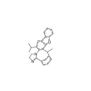 CC(C)c1cc2c(oc3ccccc32)c2c1N1CCN=C1c1cccc(c1)C2C